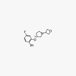 CC(C)c1ccc(F)cc1O[C@@H]1CCN(C2COC2)C1